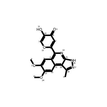 COc1cc2c(-c3cc(=O)c(O)co3)nc3[nH]nc(C)c3c2cc1OC